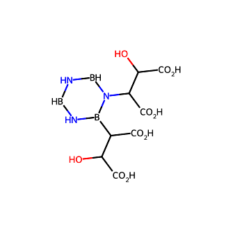 O=C(O)C(O)C(B1NBNBN1C(C(=O)O)C(O)C(=O)O)C(=O)O